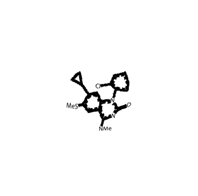 CNc1nc(=O)n(-c2ccccc2Cl)c2cc(C3CC3)c(SC)cc12